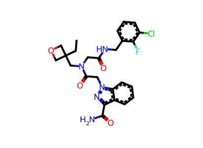 CCC1(CN(CC(=O)NCc2cccc(Cl)c2F)C(=O)Cn2nc(C(N)=O)c3ccccc32)COC1